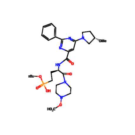 CCCCOP(=O)(O)CC[C@@H](NC(=O)c1cc(N2CC[C@H](OC)C2)nc(-c2ccccc2)n1)C(=O)N1CCN(OC(=O)O)CC1